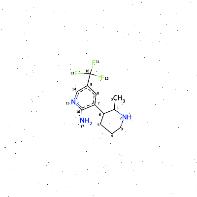 CC1NCCCC1c1cc(C(F)(F)F)cnc1N